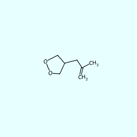 C=C(C)CC1COOC1